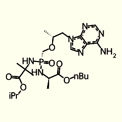 CCCCOC(=O)[C@@H](C)N[P@@](=O)(CO[C@H](C)Cn1cnc2c(N)ncnc21)NC(C)(C)C(=O)OC(C)C